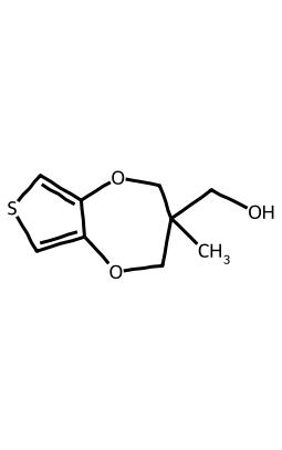 CC1(CO)COc2cscc2OC1